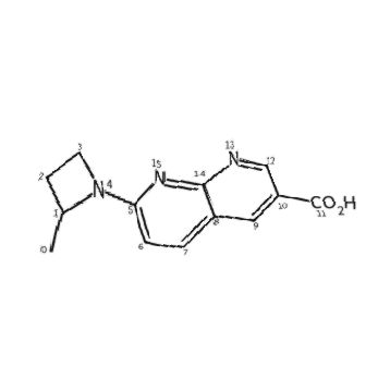 CC1CCN1c1ccc2cc(C(=O)O)cnc2n1